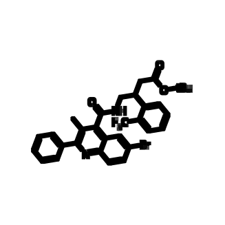 Cc1c(-c2ccccc2)nc2ccc(Br)cc2c1C(=O)NCC(CC(=O)OC(C)(C)C)c1ccccc1C(F)(F)F